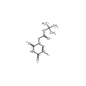 CC(C)(C)OC(=O)Cn1cc(I)c(=O)[nH]c1=O